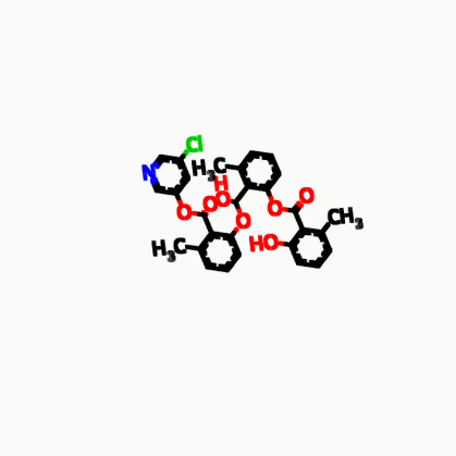 Cc1cccc(O)c1C(=O)Oc1cccc(C)c1C(O)Oc1cccc(C)c1C(=O)Oc1cncc(Cl)c1